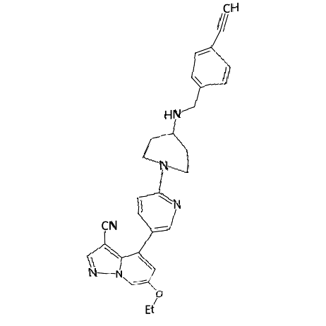 C#Cc1ccc(CNC2CCN(c3ccc(-c4cc(OCC)cn5ncc(C#N)c45)cn3)CC2)cc1